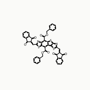 O=C1C(=Cc2nc3c(C(=O)OCc4ccccc4)c4sc5nc(C=C6C(=O)c7ccccc7C6=O)sc5c4c(C(=O)OCc4ccccc4)c3s2)C(=O)c2ccccc21